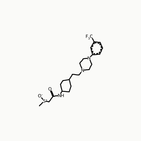 C[S+]([O-])CC(=O)NC1CCC(CCN2CCN(c3cccc(C(F)(F)F)c3)CC2)CC1